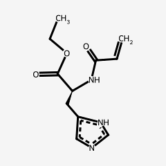 C=CC(=O)N[C@@H](Cc1cnc[nH]1)C(=O)OCC